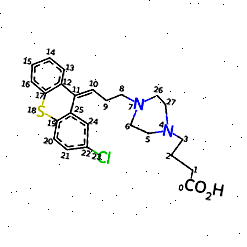 O=C(O)CCCN1CCN(CCC=C2c3ccccc3Sc3ccc(Cl)cc32)CC1